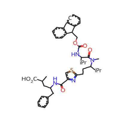 CC(CC(Cc1ccccc1)NC(=O)c1csc(CCC(C(C)C)N(C)C(=O)C(NC(=O)OCC2c3ccccc3-c3ccccc32)C(C)C)n1)C(=O)O